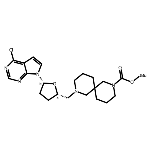 CC(C)(C)OC(=O)N1CCCC2(CCCN(C[C@@H]3CC[C@H](n4ccc5c(Cl)ncnc54)O3)C2)C1